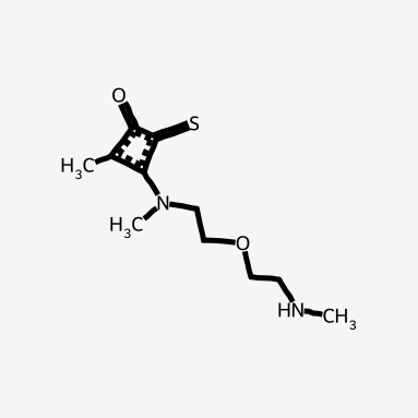 CNCCOCCN(C)c1c(C)c(=O)c1=S